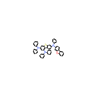 c1ccc(N(c2ccc3c(c2)oc2ccccc23)c2ccc3c(c2)sc2cc(N(c4ccccc4)c4ccccc4)cc(N(c4ccccc4)c4ccccc4)c23)cc1